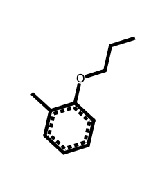 CCCOc1ccccc1C